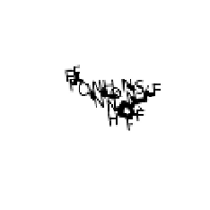 C[C@]1(CF)C[C@@](C)(c2cc(NC(=O)c3cnc(OCC(F)(F)F)cn3)cc(F)c2F)N=C(N)S1